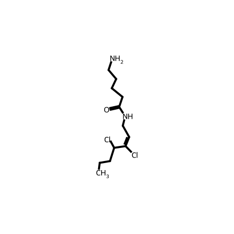 CCCC(Cl)/C(Cl)=C\CNC(=O)CCCCN